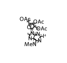 CNc1nc(I)nc2c1ncn2[C@@H]1O[C@@H](COC(C)=O)[C@@H](OC(C)=O)[C@H]1OC(C)=O